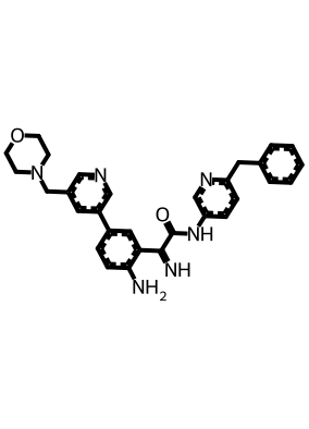 N=C(C(=O)Nc1ccc(Cc2ccccc2)nc1)c1cc(-c2cncc(CN3CCOCC3)c2)ccc1N